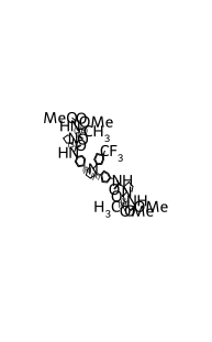 COC(=O)N[C@H](C(=O)N1CCCC1C(=O)Nc1ccc([C@H]2CC[C@H](c3ccc(NC(=O)[C@@H]4CCCN4C(=O)[C@@H](NC(=O)OC)[C@H](C)OC)cc3)N2c2ccc(C(F)(F)F)cc2)cc1)[C@H](C)OC